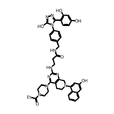 CCC(=O)N1CCN(c2nc(NCCC(=O)NCc3ccc(-n4c(O)nnc4-c4ccc(O)cc4O)cc3)nc3c2CCN(c2cc(O)cc4ccccc24)C3)CC1